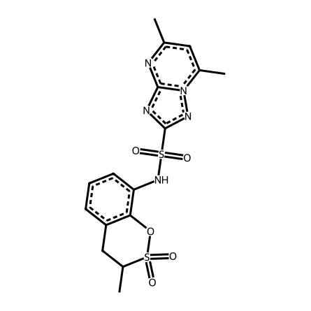 Cc1cc(C)n2nc(S(=O)(=O)Nc3cccc4c3OS(=O)(=O)C(C)C4)nc2n1